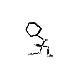 CCCCOP(=S)(NC1CCCCC1)OCCCC